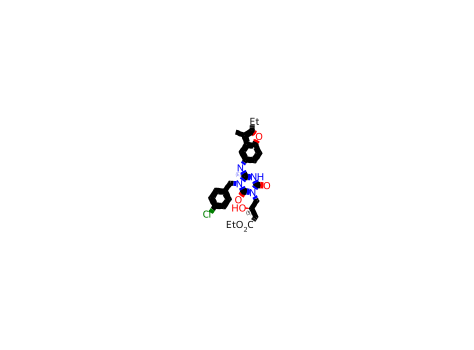 CCOC(=O)C[C@H](O)Cn1c(=O)[nH]/c(=N\c2ccc3oc(CC)c(C)c3c2)n(Cc2ccc(Cl)cc2)c1=O